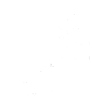 COc1cc(C(=O)N2CCCC(CCOS(=O)(=O)c3ccc(C)cc3)(c3ccc(Cl)c(Cl)c3)C2)cc(OC)c1OC